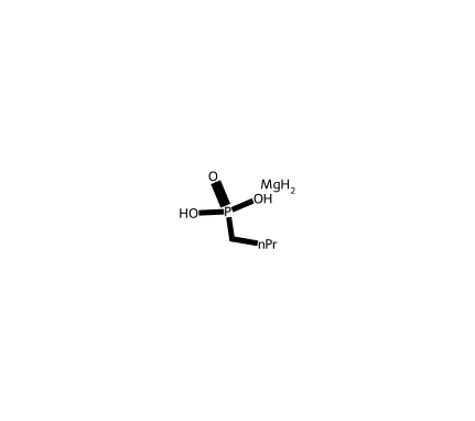 CCCCP(=O)(O)O.[MgH2]